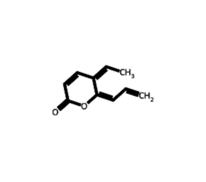 C=C/C=c1/oc(=O)cc/c1=C/C